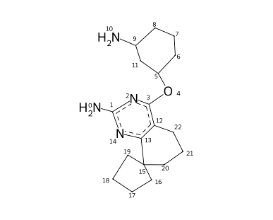 Nc1nc(OC2CCCC(N)C2)c2c(n1)C1(CCCC1)CCC2